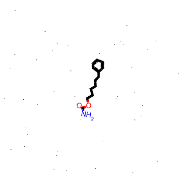 NC(=O)OCCCCCCc1ccccc1